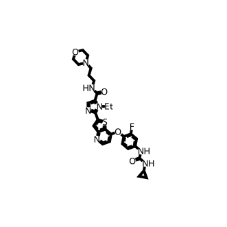 CCn1c(C(=O)NCCCN2CCOCC2)cnc1-c1cc2nccc(Oc3ccc(NC(=O)NC4CC4)cc3F)c2s1